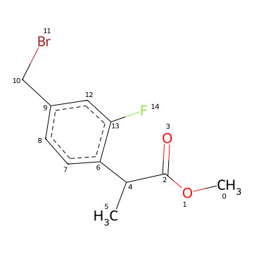 COC(=O)C(C)c1ccc(CBr)cc1F